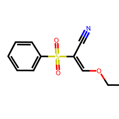 CCOC=C(C#N)S(=O)(=O)c1ccccc1